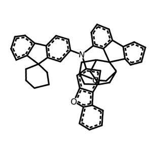 c1ccc2c(c1)-c1ccc(N(c3ccc4c(c3)oc3ccccc34)c3cccc4c3C3(c5ccccc5-4)C4CCC5CC(C4)CC3C5)cc1C21CCCCC1